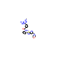 C=N/N=C(\NN)c1cccc(C(=O)Nc2ccccc2-c2nc3cc(CN4CCOCC4)cnc3s2)c1